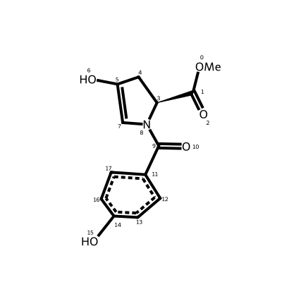 COC(=O)[C@@H]1CC(O)=CN1C(=O)c1ccc(O)cc1